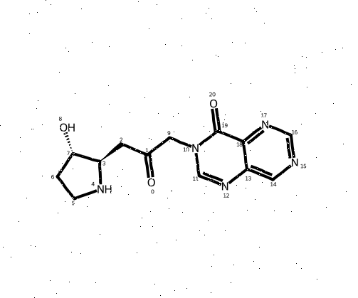 O=C(C[C@H]1NCC[C@@H]1O)Cn1cnc2cncnc2c1=O